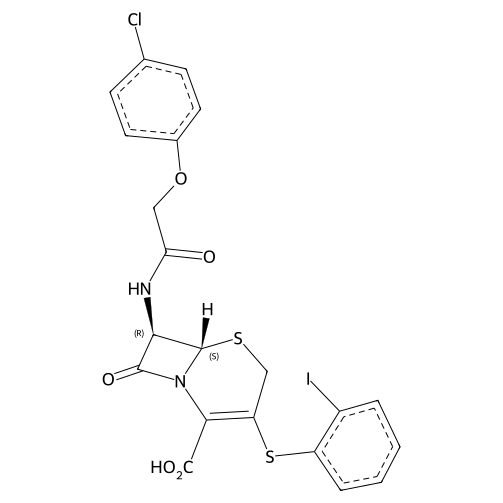 O=C(COc1ccc(Cl)cc1)N[C@@H]1C(=O)N2C(C(=O)O)=C(Sc3ccccc3I)CS[C@@H]12